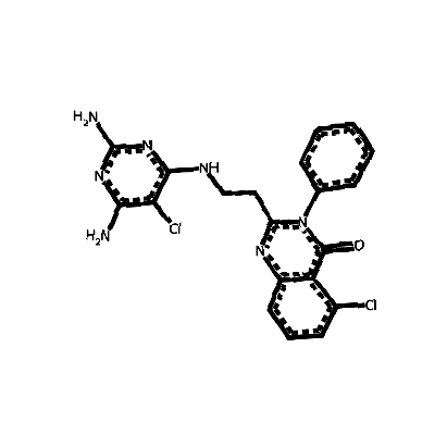 Nc1nc(N)c(Cl)c(NCCc2nc3cccc(Cl)c3c(=O)n2-c2ccccc2)n1